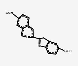 CNc1ccc2cc(C3=Nc4ccc(C(=O)O)cc4C3)ccc2c1